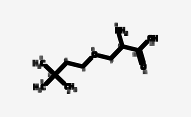 CC(C)(C)CCOCC(N)C(=O)O